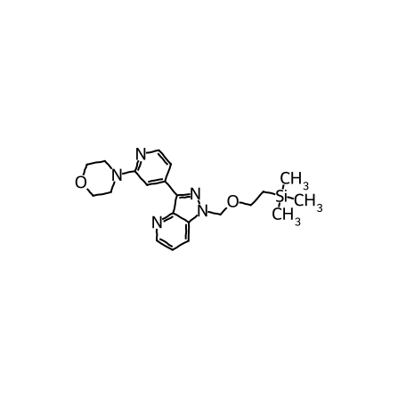 C[Si](C)(C)CCOCn1nc(-c2ccnc(N3CCOCC3)c2)c2ncccc21